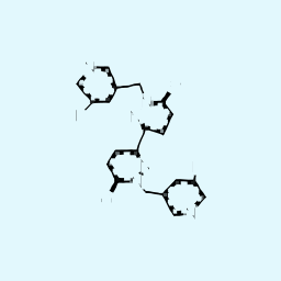 O=c1ccc(-c2ccc(=O)n(Cc3cncc(F)c3)n2)nn1Cc1cncc(F)c1